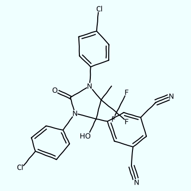 CC1(C(F)(F)F)N(c2ccc(Cl)cc2)C(=O)N(c2ccc(Cl)cc2)C1(O)c1cc(C#N)cc(C#N)c1